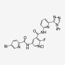 CC(C)n1cnnc1-c1cccc(NC(=O)c2cc(NC(=O)c3ccc(Br)cn3)ccc2F)n1.Cl